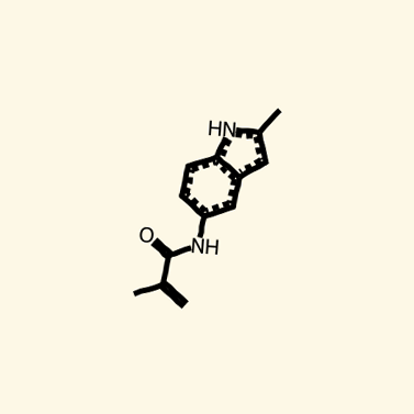 C=C(C)C(=O)Nc1ccc2[nH]c(C)cc2c1